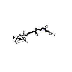 CCC/C(Cl)=C\CNC(=O)CCCCNS(=O)(=O)C(C)(C)C